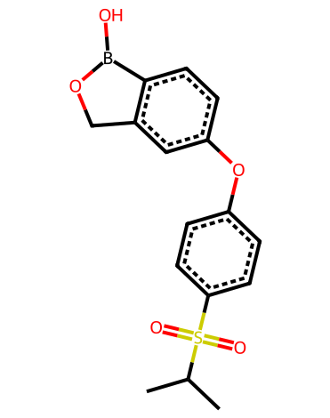 CC(C)S(=O)(=O)c1ccc(Oc2ccc3c(c2)COB3O)cc1